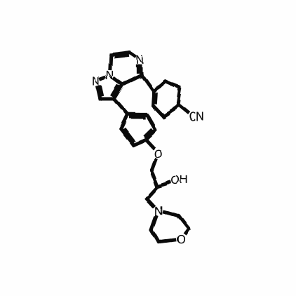 N#CC1CC=C(c2nccn3ncc(-c4ccc(OCC(O)CN5CCOCC5)cc4)c23)CC1